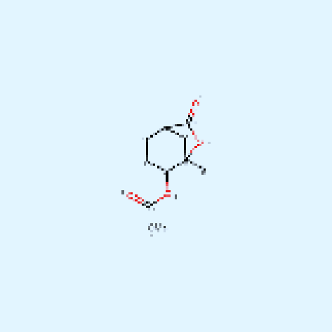 COC(=O)OC1CCC2CC1(C)OC2=O